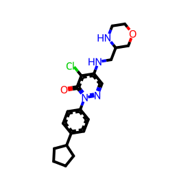 O=c1c(Cl)c(NCC2COCCN2)cnn1-c1ccc(C2CCCC2)cc1